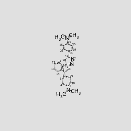 CN(C)c1ccc(C=CC2(c3ccccc3)CC(c3ccc(N(C)C)cc3)N=N2)cc1